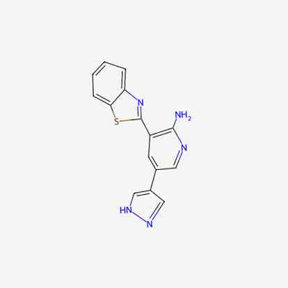 Nc1ncc(-c2cn[nH]c2)cc1-c1nc2ccccc2s1